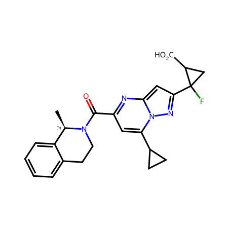 C[C@@H]1c2ccccc2CCN1C(=O)c1cc(C2CC2)n2nc(C3(F)CC3C(=O)O)cc2n1